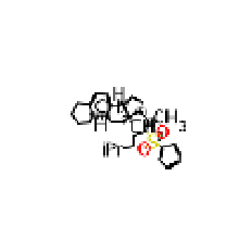 CC(C)CCC([C@@H](C)[C@H]1CC[C@H]2C3=CC=C4CCCC[C@]4(C)[C@H]3CC[C@]12C)S(=O)(=O)c1ccccc1